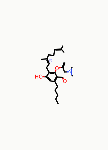 C=C(CN(C)C)Oc1c(C=O)c(CCCCC)cc(O)c1C/C=C(\C)CCC=C(C)C